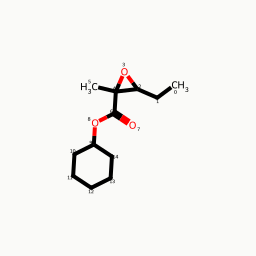 CCC1OC1(C)C(=O)OC1CCCCC1